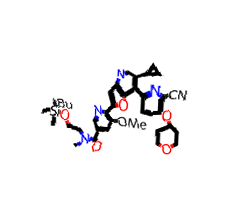 COc1cc(C(=O)N(C)CCO[Si](C)(C)C(C)(C)C)cnc1-c1cc2ncc(C3CC3)c(-c3ccc(OC4CCOCC4)c(C#N)n3)c2o1